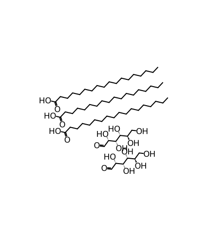 CCCCCCCCCCCCCCCCCC(=O)O.CCCCCCCCCCCCCCCCCC(=O)O.CCCCCCCCCCCCCCCCCC(=O)O.O=C[C@H](O)[C@@H](O)[C@H](O)[C@H](O)CO.O=C[C@H](O)[C@@H](O)[C@H](O)[C@H](O)CO